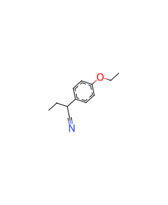 CCOc1ccc(C(C#N)CC)cc1